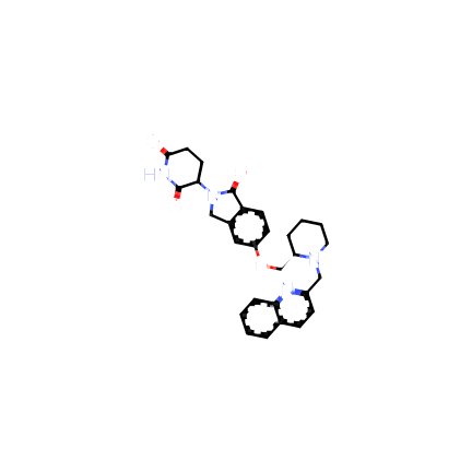 O=C1CCC(N2Cc3cc(OC[C@H]4CCCCN4Cc4ccc5ccccc5n4)ccc3C2=O)C(=O)N1